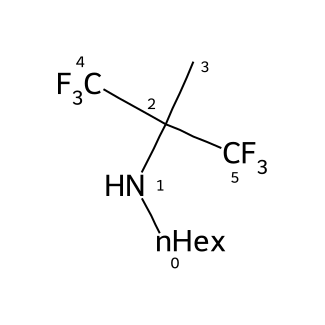 CCCCCCNC(C)(C(F)(F)F)C(F)(F)F